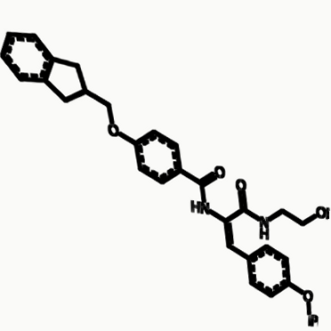 CC(C)Oc1ccc(C=C(NC(=O)c2ccc(OCC3Cc4ccccc4C3)cc2)C(=O)NCCO)cc1